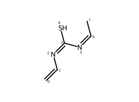 C=C/N=C(S)\N=C/C